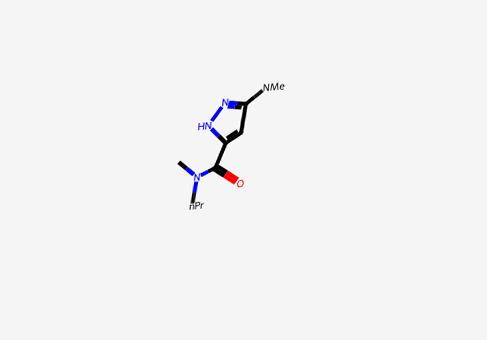 CCCN(C)C(=O)c1cc(NC)n[nH]1